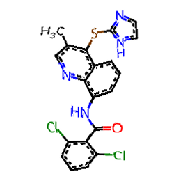 Cc1cnc2c(NC(=O)c3c(Cl)cccc3Cl)cccc2c1Sc1ncc[nH]1